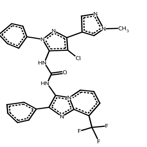 Cn1cc(-c2nn(-c3ccccc3)c(NC(=O)Nc3c(-c4ccccc4)nc4c(C(F)(F)F)cccn34)c2Cl)cn1